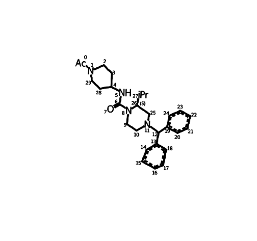 CC(=O)N1CCC(NC(=O)N2CCN(C(c3ccccc3)c3ccccc3)C[C@@H]2C(C)C)CC1